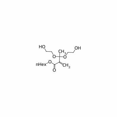 C=C(C(=O)OCCCCCC)C(C)(OCCO)OCCO